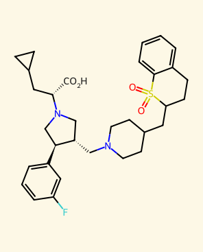 O=C(O)[C@@H](CC1CC1)N1C[C@H](CN2CCC(CC3CCc4ccccc4S3(=O)=O)CC2)[C@@H](c2cccc(F)c2)C1